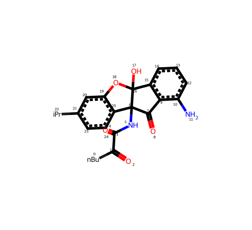 CCCCC(=O)C(=O)NC12C(=O)c3c(N)cccc3C1(O)Oc1cc(C(C)C)ccc12